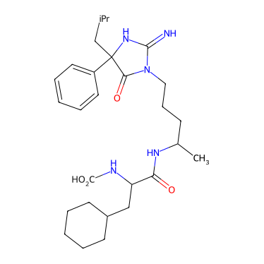 CC(C)CC1(c2ccccc2)NC(=N)N(CCCC(C)NC(=O)C(CC2CCCCC2)NC(=O)O)C1=O